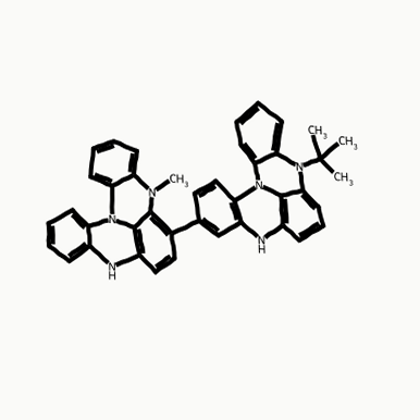 CN1c2ccccc2N2c3ccccc3Nc3ccc(-c4ccc5c(c4)Nc4cccc6c4N5c4ccccc4N6C(C)(C)C)c1c32